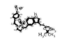 CC(C)(C)ON(C=O)CCc1c[nH]c2ccc(CN3CCN(Cc4ccc([N+](=O)[O-])cc4)S3(=O)=O)cc12